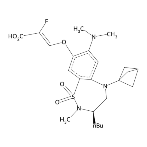 CCCC[C@@H]1CN(C23CC(C2)C3)c2cc(N(C)C)c(O/C=C(\F)C(=O)O)cc2S(=O)(=O)N1C